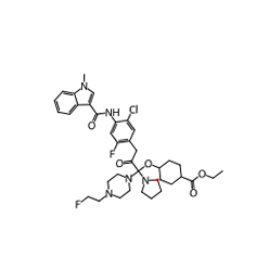 CCOC(=O)C1CCC(OC(C(=O)Cc2cc(Cl)c(NC(=O)c3cn(C)c4ccccc34)cc2F)(N2CCCC2)N2CCN(CCF)CC2)CC1